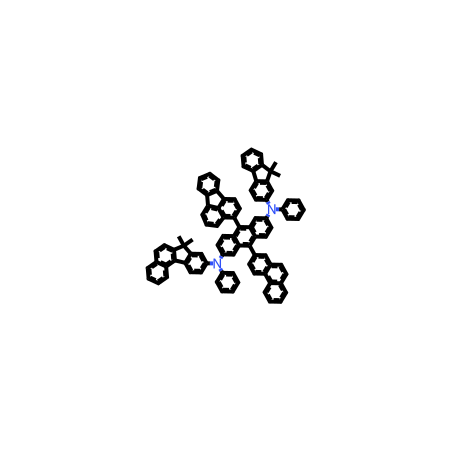 CC1(C)c2ccccc2-c2ccc(N(c3ccccc3)c3ccc4c(-c5ccc6c(ccc7ccccc76)c5)c5cc(N(c6ccccc6)c6ccc7c(c6)C(C)(C)c6ccc8ccccc8c6-7)ccc5c(-c5ccc6c7c(cccc57)-c5ccccc5-6)c4c3)cc21